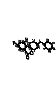 O=C1OC2(CCN(Cc3ccccc3)CC2)c2c(F)cc(F)cc21